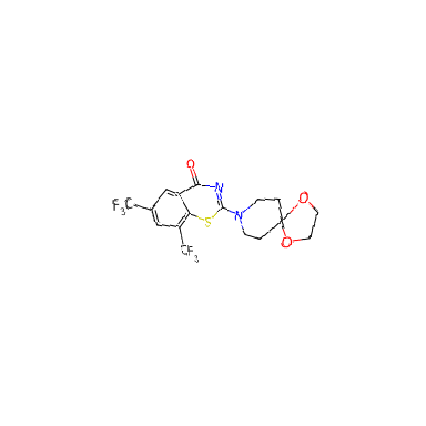 O=c1nc(N2CCC3(CC2)OCCO3)sc2c(C(F)(F)F)cc(C(F)(F)F)cc12